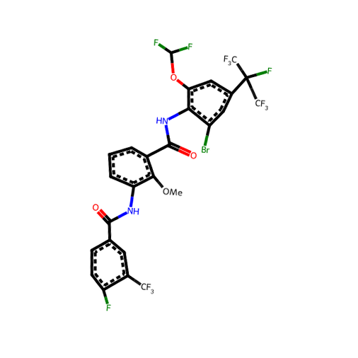 COc1c(NC(=O)c2ccc(F)c(C(F)(F)F)c2)cccc1C(=O)Nc1c(Br)cc(C(F)(C(F)(F)F)C(F)(F)F)cc1OC(F)F